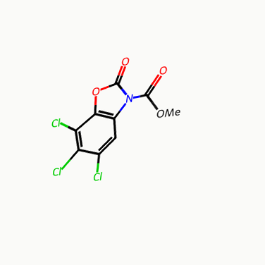 COC(=O)n1c(=O)oc2c(Cl)c(Cl)c(Cl)cc21